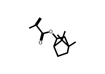 C=C(C)C(=O)OC1CC2(C)CCC1C2(C)C